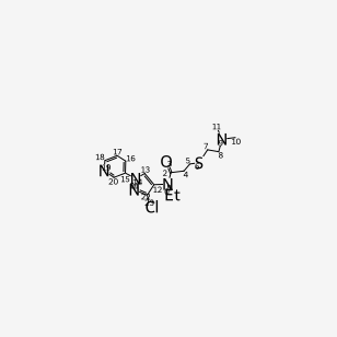 CCN(C(=O)CCSCCN(C)C)c1cn(-c2cccnc2)nc1Cl